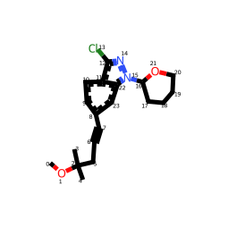 COC(C)(C)CC#Cc1ccc2c(Cl)nn(C3CCCCO3)c2c1